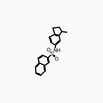 CC1CCc2ccc(NS(=O)(=O)c3ccc4ccccc4c3)cc21